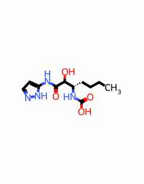 CCCC[C@H](NC(=O)O)C(O)C(=O)Nc1ccn[nH]1